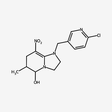 CC1CC([N+](=O)[O-])=C2N(Cc3ccc(Cl)nc3)CCN2C1O